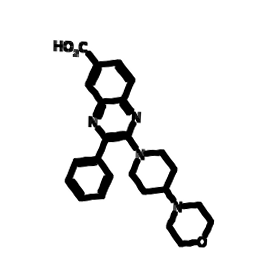 O=C(O)c1ccc2nc(N3CCC(N4CCOCC4)CC3)c(-c3ccccc3)nc2c1